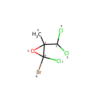 CC1(C(Cl)Cl)OC1(Cl)Br